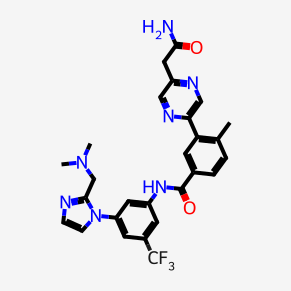 Cc1ccc(C(=O)Nc2cc(-n3ccnc3CN(C)C)cc(C(F)(F)F)c2)cc1-c1cnc(CC(N)=O)cn1